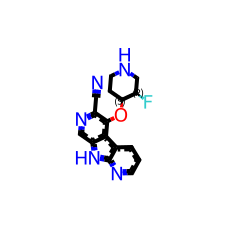 N#Cc1ncc2[nH]c3ncccc3c2c1O[C@H]1CCNC[C@H]1F